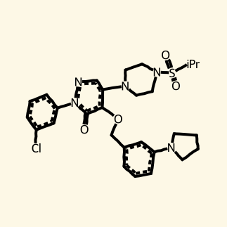 CC(C)S(=O)(=O)N1CCN(c2cnn(-c3cccc(Cl)c3)c(=O)c2OCc2cccc(N3CCCC3)c2)CC1